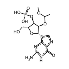 COC(C)O[C@@H]1[C@H](OP(=O)(O)O)[C@@H](CO)O[C@H]1n1cnc2c(=O)[nH]c(N)nc21